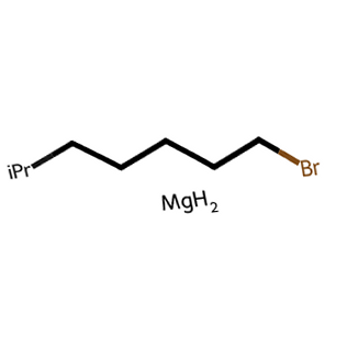 CC(C)CCCCCBr.[MgH2]